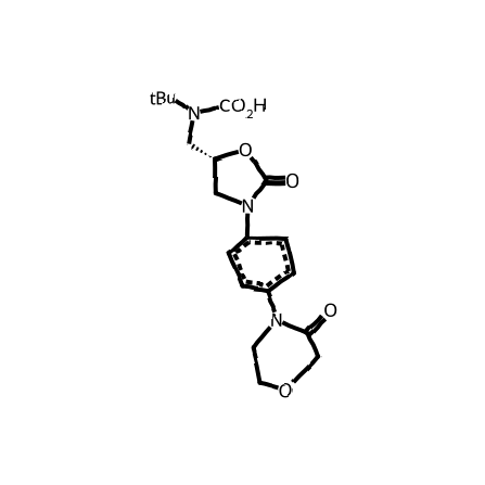 CC(C)(C)N(C[C@H]1CN(c2ccc(N3CCOCC3=O)cc2)C(=O)O1)C(=O)O